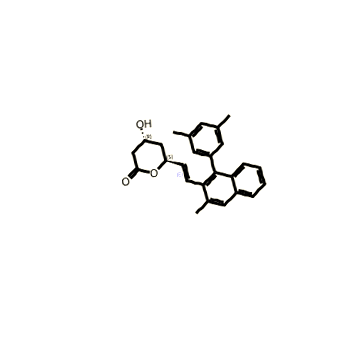 Cc1cc(C)cc(-c2c(/C=C/[C@@H]3C[C@@H](O)CC(=O)O3)c(C)cc3ccccc23)c1